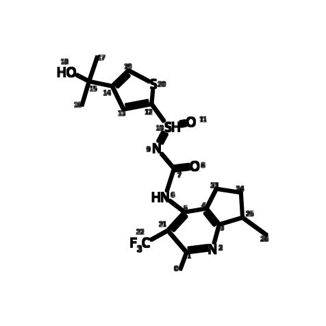 Cc1nc2c(c(NC(=O)/N=[SH](=O)/c3cc(C(C)(C)O)cs3)c1C(F)(F)F)CCC2C